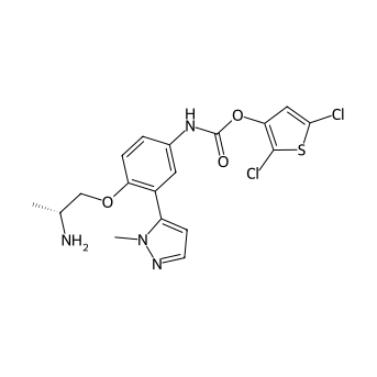 C[C@@H](N)COc1ccc(NC(=O)Oc2cc(Cl)sc2Cl)cc1-c1ccnn1C